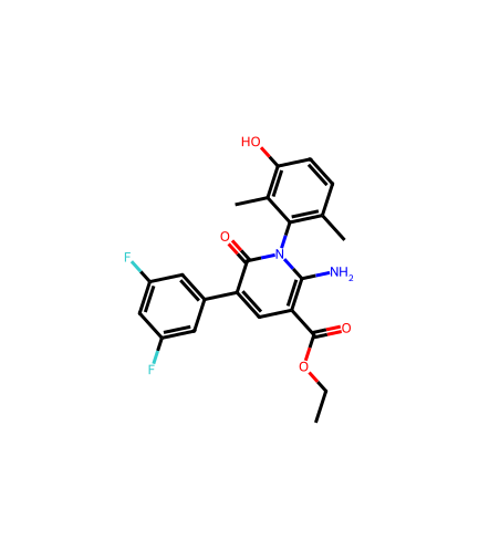 CCOC(=O)c1cc(-c2cc(F)cc(F)c2)c(=O)n(-c2c(C)ccc(O)c2C)c1N